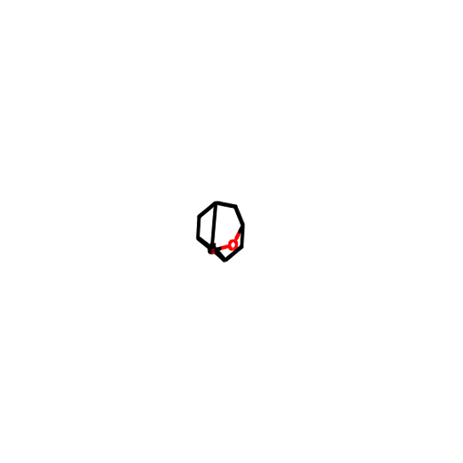 C1OC2CC3CC1CC(C3)C2